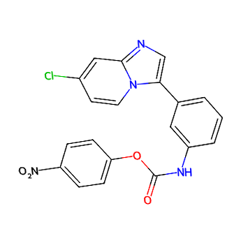 O=C(Nc1cccc(-c2cnc3cc(Cl)ccn23)c1)Oc1ccc([N+](=O)[O-])cc1